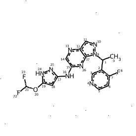 CC(c1cnccc1F)n1ncc2ncc(Nc3cc(OC(F)F)[nH]n3)nc21